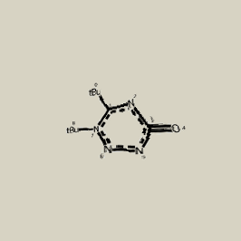 CC(C)(C)c1nc(=O)nnn1C(C)(C)C